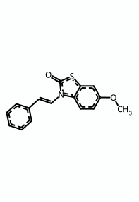 COc1ccc2c(c1)sc(=O)n2/C=C/c1ccccc1